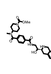 COC(=O)N1CCC(N(C)C(=O)c2ccc(C(=O)NCC(O)[C@@H]3Cc4ccccc4CN3)cc2)CC1